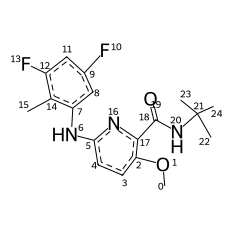 COc1ccc(Nc2cc(F)cc(F)c2C)nc1C(=O)NC(C)(C)C